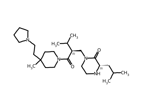 CC(C)C[C@@H]1NCCN(C[C@@H](C(=O)N2CCC(C)(CCN3CCCC3)CC2)C(C)C)C1=O